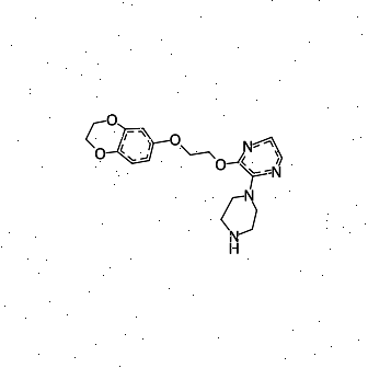 c1cnc(N2CCNCC2)c(OCCOc2ccc3c(c2)OCCO3)n1